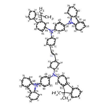 CC1(C)c2ccccc2-c2ccc(N(c3ccc(/C=C/c4ccc(N(c5ccc(-n6c7ccccc7c7ccccc76)cc5)c5ccc6c(c5)C(C)(C)c5ccccc5-6)cc4)cc3)c3ccc(-n4c5ccccc5c5ccccc54)cc3)cc21